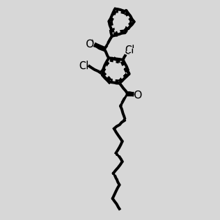 CCCCCCCCCCC(=O)c1cc(Cl)c(C(=O)c2ccccc2)c(Cl)c1